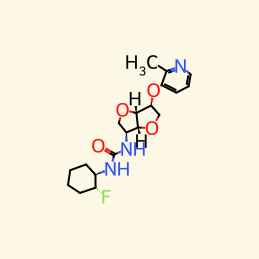 Cc1ncccc1O[C@H]1CO[C@H]2[C@@H]1OC[C@@H]2NC(=O)N[C@@H]1CCCC[C@H]1F